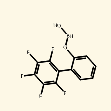 OBOc1ccccc1-c1c(F)c(F)c(F)c(F)c1F